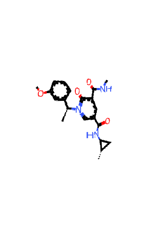 CNC(=O)c1cc(C(=O)N[C@H]2C[C@@H]2C)cn([C@@H](C)c2cccc(OC)c2)c1=O